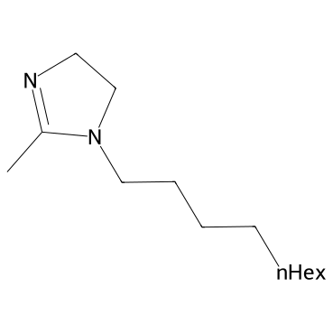 CCCCCCCCCCN1CCN=C1C